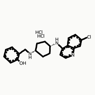 Cl.Cl.Oc1ccccc1CN[C@H]1CC[C@@H](Nc2ccnc3cc(Cl)ccc23)CC1